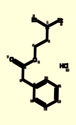 CCN(CC)CCOC(=O)Cc1ccccc1.Cl